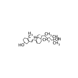 CC1=C(/C=C/C2=CCC[C@]3(C)[C@@H]([C@H](C)CCCC(C)(C)O)CC[C@@H]23)C[C@@H](O)CC1